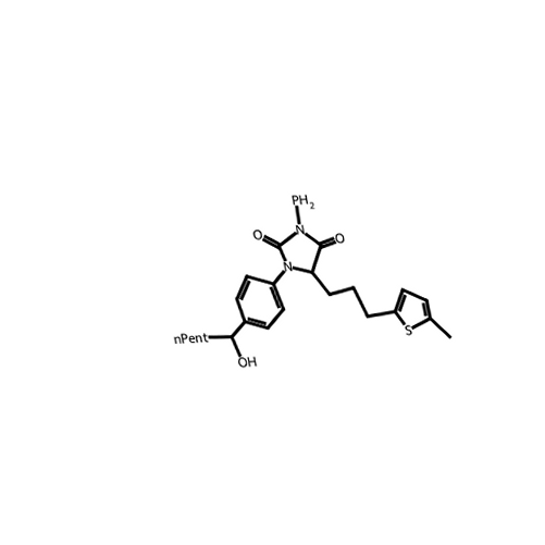 CCCCCC(O)c1ccc(N2C(=O)N(P)C(=O)C2CCCc2ccc(C)s2)cc1